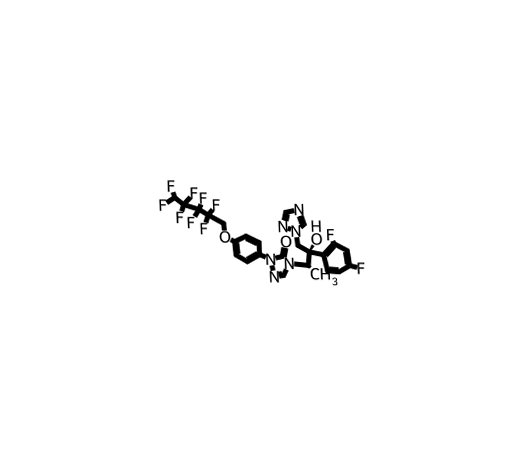 C[C@@H](n1cnn(-c2ccc(OCC(F)(F)C(F)(F)C(F)(F)C(F)F)cc2)c1=O)[C@](O)(Cn1cncn1)c1ccc(F)cc1F